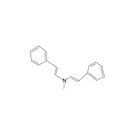 CN(C=Cc1ccccc1)C=Cc1ccccc1